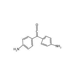 Nc1ccc(C(=C=O)c2ccc(N)cc2)cc1